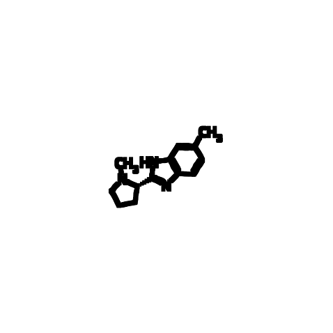 Cc1ccc2nc([C@@H]3CCCN3C)[nH]c2c1